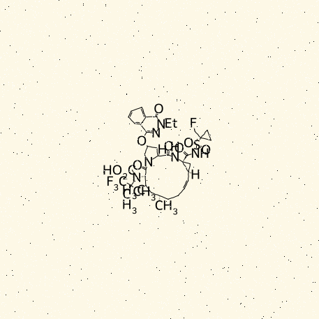 CCn1nc(O[C@@H]2C[C@H]3C(=O)N[C@]4(C(=O)NS(=O)(=O)C5(CF)CC5)C[C@H]4/C=C\CC[C@H](C)C[C@@H](C)[C@H](N(C(=O)O)C(C)(C)C(F)(F)F)C(=O)N3C2)c2ccccc2c1=O